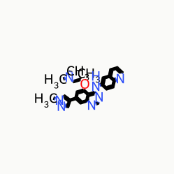 C[C@H](CN(C)C)Oc1cc(-c2cnn(C)c2)cc2ncnc(Nc3ccc4ncccc4c3)c12